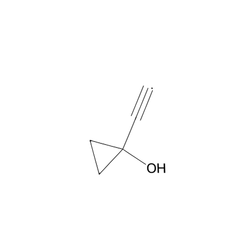 [C]#CC1(O)CC1